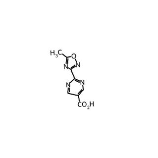 Cc1nc(-c2ncc(C(=O)O)cn2)no1